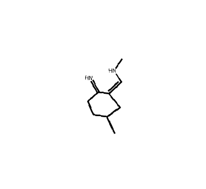 CN/C=C1/CC(C)CCC1=N